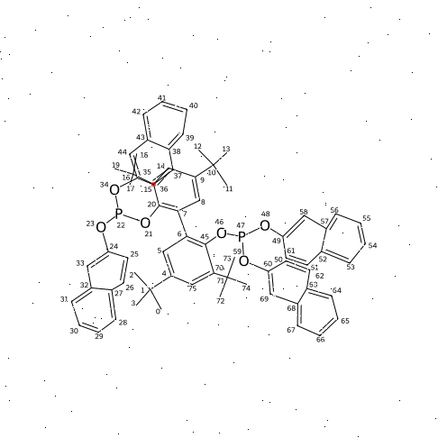 CC(C)(C)c1cc(-c2cc(C(C)(C)C)cc(C(C)(C)C)c2OP(Oc2ccc3ccccc3c2)Oc2ccc3ccccc3c2)c(OP(Oc2ccc3ccccc3c2)Oc2ccc3ccccc3c2)c(C(C)(C)C)c1